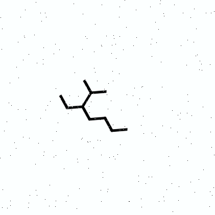 C[CH]CCC(CC)C(C)C